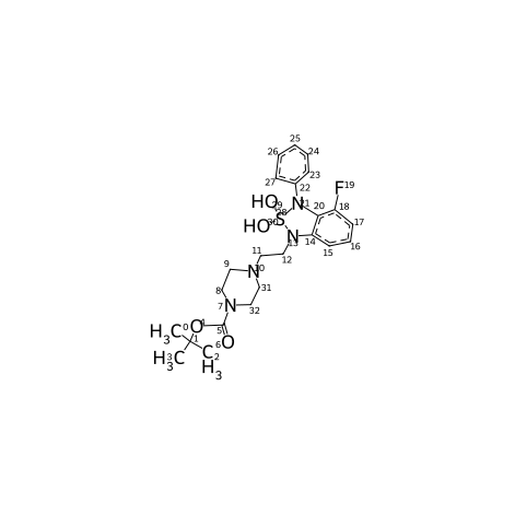 CC(C)(C)OC(=O)N1CCN(CCN2c3cccc(F)c3N(c3ccccc3)S2(O)O)CC1